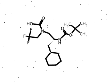 CC(C)(C)OC(=O)N[C@H](CC1CCCCC1)CN(CC(F)(F)F)C(=O)O